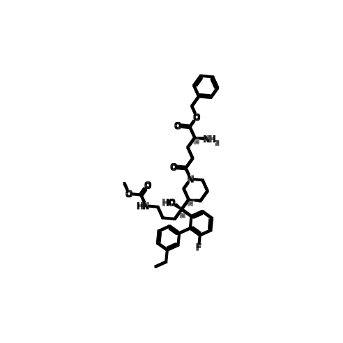 CCc1cccc(-c2c(F)cccc2[C@](O)(CCCNC(=O)OC)[C@@H]2CCCN(C(=O)CC[C@H](N)C(=O)OCc3ccccc3)C2)c1